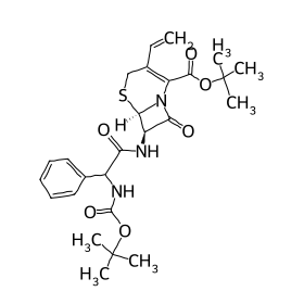 C=CC1=C(C(=O)OC(C)(C)C)N2C(=O)[C@@H](NC(=O)C(NC(=O)OC(C)(C)C)c3ccccc3)[C@H]2SC1